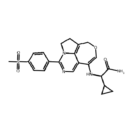 CS(=O)(=O)c1ccc(C2=NC=C3C(NC(C(N)=O)C4CC4)=COCC4=C3N2CC4)cc1